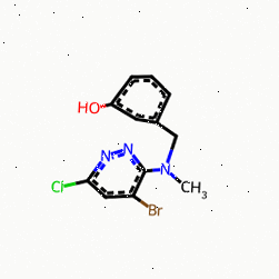 CN(Cc1cccc(O)c1)c1nnc(Cl)cc1Br